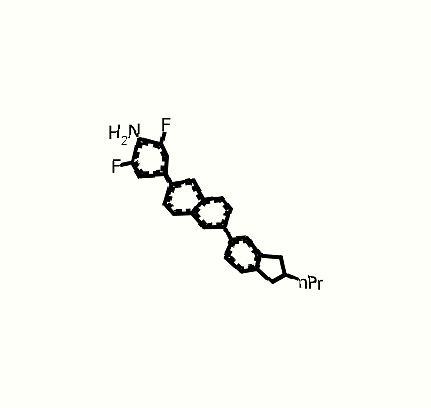 CCCC1Cc2ccc(-c3ccc4cc(-c5cc(F)c(N)c(F)c5)ccc4c3)cc2C1